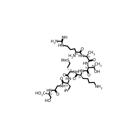 CSCC[C@H](NC(=O)[C@H](CCCCN)NC(=O)[C@@H](NC(=O)[C@H](C)NC(=O)[C@@H](N)CCCNC(=N)N)[C@@H](C)O)C(=O)N[C@@H](CC(C)C)C(=O)NCC(=O)N[C@@H](CO)C(=O)O